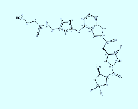 N#C[C@@H]1CC(F)(F)CN1C(=O)[C@@H]1C[C@@H](CC(=O)N2Cc3cccc(Cn4cc(CNC(=O)CCC(=O)O)nn4)c3C2)C(=O)N1